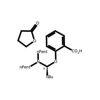 CCCCCN(CCCCC)[C@H](CCCC)Oc1ccccc1C(=O)O.O=C1CCCO1